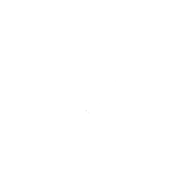 C1=CC2C=CC=C(n3c4c(c5c6ccccc6c6c(c53)SC3C=CC=CC63)CCC=C4)C2C=C1